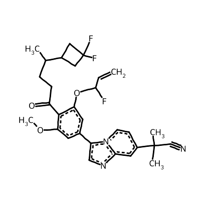 C=CC(F)Oc1cc(-c2cnc3cc(C(C)(C)C#N)ccn23)cc(OC)c1C(=O)CCC(C)C1CC(F)(F)C1